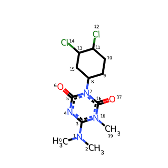 CN(C)c1nc(=O)n(C2CCC(Cl)C(Cl)C2)c(=O)n1C